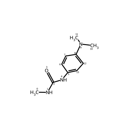 CNC(=O)Nc1ccc(N(C)C)cc1